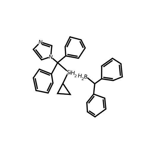 BC(c1ccccc1)c1ccccc1.c1ccc(C([SiH2]C2CC2)(c2ccccc2)n2ccnc2)cc1